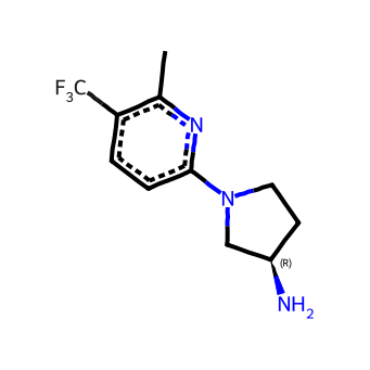 Cc1nc(N2CC[C@@H](N)C2)ccc1C(F)(F)F